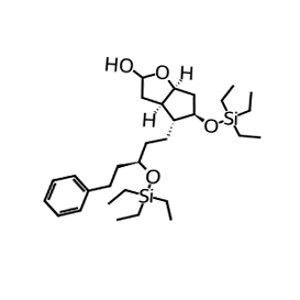 CC[Si](CC)(CC)O[C@@H](CCc1ccccc1)CC[C@@H]1[C@H]2CC(O)O[C@H]2C[C@H]1O[Si](CC)(CC)CC